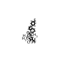 Cc1c(Cl)c(C(F)(F)F)cn1C(C)(C)C(=O)N1CCCc2c1ccn2-c1ccc(F)cc1